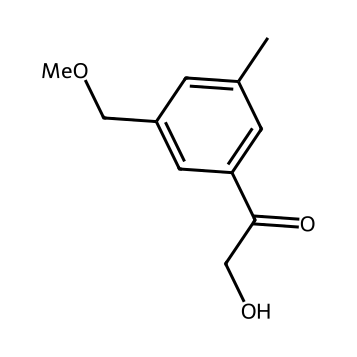 COCc1cc(C)cc(C(=O)CO)c1